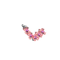 [Cs+].[Fe+3].[Li+].[O-][I+3]([O-])([O-])[O-].[O-][I+3]([O-])([O-])[O-].[O-][I+3]([O-])([O-])[O-].[O-][I+3]([O-])([O-])[O-].[O-][I+3]([O-])([O-])[O-]